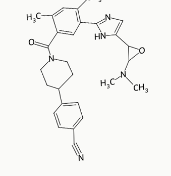 Cc1cc(C)c(-c2ncc(C3OC3N(C)C)[nH]2)cc1C(=O)N1CCC(c2ccc(C#N)cc2)CC1